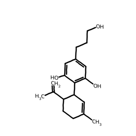 C=C(C)C1CCC(C)=CC1c1c(O)cc(CCCO)cc1O